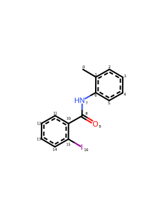 Cc1ccccc1NC(=O)c1ccccc1I